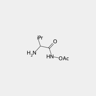 CC(=O)ONC(=O)C(N)C(C)C